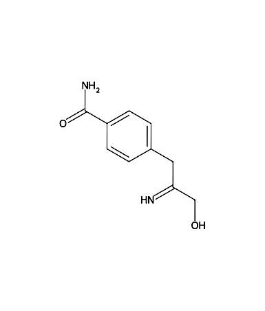 N=C(CO)Cc1ccc(C(N)=O)cc1